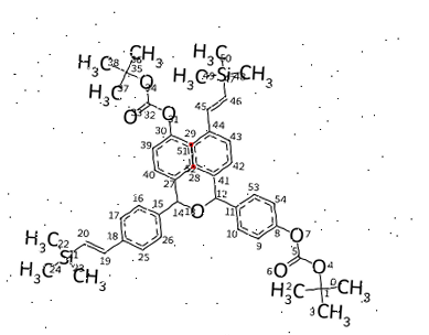 CC(C)(C)OC(=O)Oc1ccc(C(OC(c2ccc(C=C[Si](C)(C)C)cc2)c2ccc(OC(=O)OC(C)(C)C)cc2)c2ccc(C=C[Si](C)(C)C)cc2)cc1